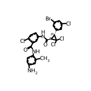 Cc1cc(N)ccc1NC(=O)c1cc(NC(=O)[C@H]2[C@H](c3cc(Cl)cc(Br)c3)C2(Cl)Cl)ccc1Cl